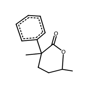 CC1CCC(C)(c2ccccc2)C(=O)O1